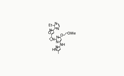 CCc1nccnc1-c1cc(C2CCN2c2nc(Nc3cc(C)[nH]n3)cc(OCCOC)n2)on1